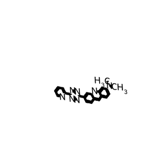 CN(C)c1ccc2cc3ccc(-c4nnc(-c5ccccn5)nn4)cc3nc2c1